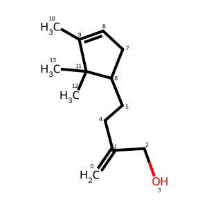 C=C(CO)CCC1CC=C(C)C1(C)C